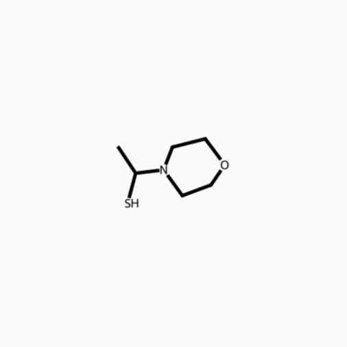 CC(S)N1CCOCC1